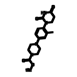 Cc1cc(N2CCN(C(=O)OC(C)(C)C)CC2)ccc1N1CCC(=O)NC1=O